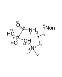 CCCCCCCCCCCC[N+](C)(C)C.NC(=O)P(=O)(O)O